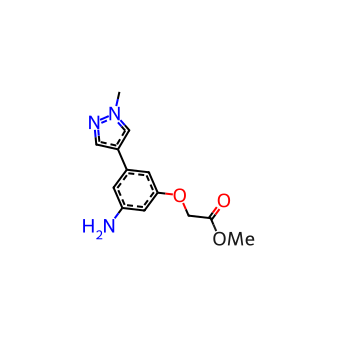 COC(=O)COc1cc(N)cc(-c2cnn(C)c2)c1